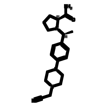 C[C@H](c1ccc(N2CCN(CC#N)CC2)cc1)N1CCC[C@H]1C(N)=O